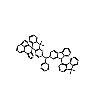 CC1(C)c2ccccc2-c2c(C3c4ccccc4-c4ccc(N(c5ccccc5)c5ccc6c(c5)[Si](C)(C)c5ccccc5C65c6ccccc6-c6cccc7cccc5c67)cc43)cccc21